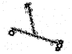 C=C(OC(=O)NCCOCCOCCOCCN(CCOCCOCCOCCNC(=O)CCC(=O)N1Cc2ccccc2C#Cc2ccccc21)C(=O)CCOCCOCCOCCOCCNC(=O)CCN1C(=O)C=CC1=O)C1CCCCCCC1